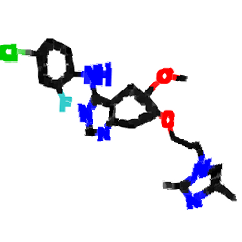 COc1cc2c(Nc3ccc(Cl)cc3F)ncnc2cc1OCCn1cc(C)nc1C